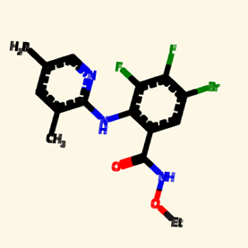 Bc1cnc(Nc2c(C(=O)NOCC)cc(Br)c(F)c2F)c(C)c1